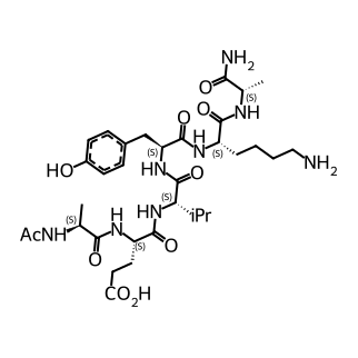 CC(=O)N[C@@H](C)C(=O)N[C@@H](CCC(=O)O)C(=O)N[C@H](C(=O)N[C@@H](Cc1ccc(O)cc1)C(=O)N[C@@H](CCCCN)C(=O)N[C@@H](C)C(N)=O)C(C)C